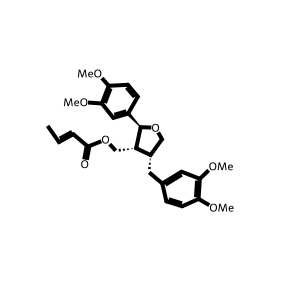 C/C=C/C(=O)OC[C@H]1[C@@H](Cc2ccc(OC)c(OC)c2)CO[C@@H]1c1ccc(OC)c(OC)c1